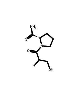 CC(CS)C(=O)N1CCC[C@H]1C(N)=O